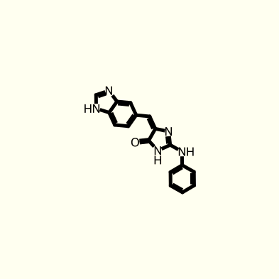 O=C1NC(Nc2ccccc2)=NC1=Cc1ccc2[nH]cnc2c1